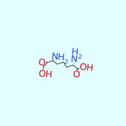 N[C@@H](CCC[C@H](N)C1OC1O)C(=O)O